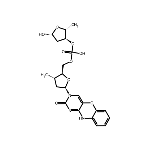 C[C@H]1C[C@H](n2cc3c(nc2=O)Nc2ccccc2O3)O[C@@H]1COP(=O)(O)O[C@H]1C[C@H](O)O[C@@H]1C